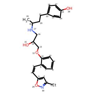 CCc1cc(/C=C\c2ccccc2OCC(O)CNC(C)CCc2ccc(O)cc2)on1